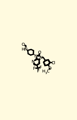 COc1ccc(Cn2c(=O)n([C@H]3CC[C@H](NC=O)CC3)c3ncc(C(F)(F)F)cc32)cc1Cl